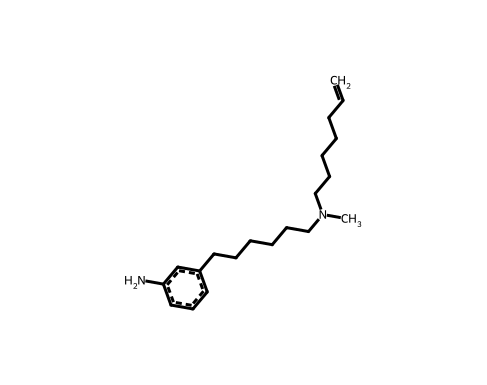 C=CCCCCCN(C)CCCCCCc1cccc(N)c1